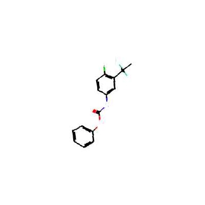 CC(F)(F)c1cc(NC(=O)Oc2ccccc2)ccc1Cl